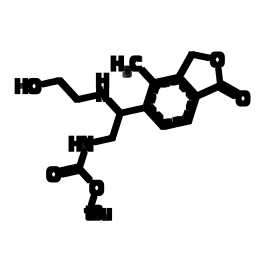 Cc1c(C(CNC(=O)OC(C)(C)C)NCCO)ccc2c1COC2=O